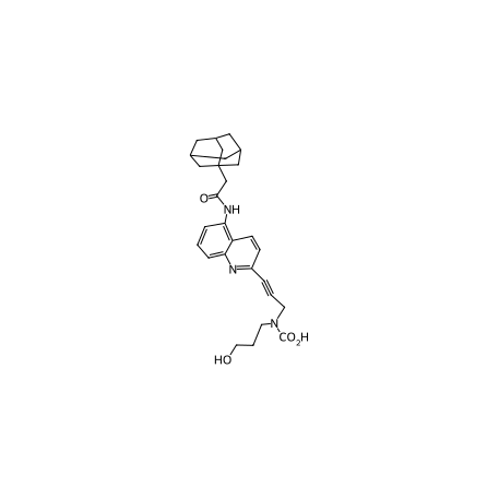 O=C(CC12CC3CC(CC(C3)C1)C2)Nc1cccc2nc(C#CCN(CCCO)C(=O)O)ccc12